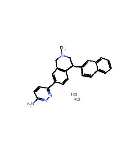 CN1Cc2cc(-c3ccc(N)nn3)ccc2C(c2ccc3ccccc3c2)C1.Cl.Cl